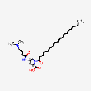 CCCCCC=CCC=CCCCCCCCC(=O)N1C[C@H](NC(=O)CCCN(C)C)C[C@H]1C(=O)O